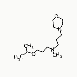 CC(C)OCCCN(C)CCCN1CCOCC1